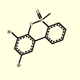 CP1(=O)Oc2c(Br)cc(Br)cc2-c2ccccc21